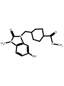 COC(=O)C1CCC(Cn2c(=O)n(C)c3ccc(O)cc32)CC1